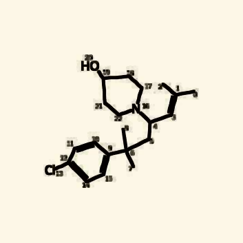 CC(C)=CC(CC(C)(C)c1ccc(Cl)cc1)N1CCC(O)CC1